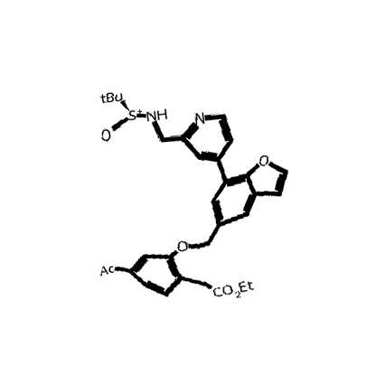 CCOC(=O)Cc1ccc(C(C)=O)cc1OCc1cc(-c2ccnc(CN[S@@+]([O-])C(C)(C)C)c2)c2occc2c1